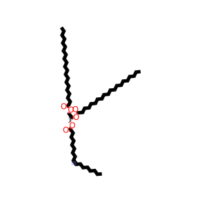 CCCCCCC/C=C\CCCCCCCC(=O)OC[C@H](COC(=O)CCCCCCCCCCCCCCCCCCCC)OC(=O)CCCCCCCCCCCCCCCCCCC